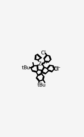 Cc1cc2c(cc1C(C)(C)C)-c1cc(C(C)(C)C)c(C)[c]([Zr+2](=[C](c3cccc(Cl)c3)c3cccc4ccccc34)[CH]3C=CC=C3)c1C2.[Cl-].[Cl-]